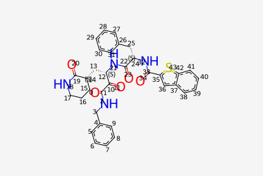 O=C(NCc1ccccc1)C(=O)[C@H](C[C@@H]1CCCNC1=O)NC(=O)[C@H](Cc1ccccc1)NC(=O)c1cc2ccccc2s1